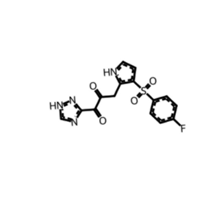 O=C(Cc1[nH]ccc1S(=O)(=O)c1ccc(F)cc1)C(=O)c1nc[nH]n1